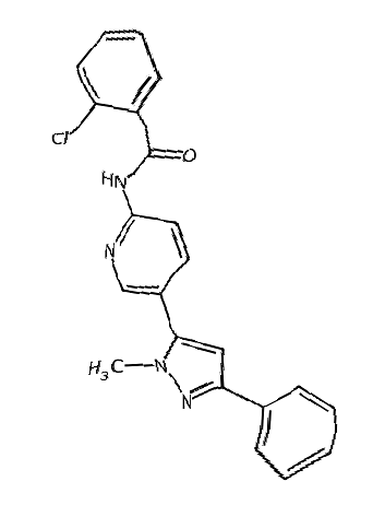 Cn1nc(-c2ccccc2)cc1-c1ccc(NC(=O)c2ccccc2Cl)nc1